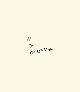 [Mo+6].[O-2].[O-2].[O-2].[W]